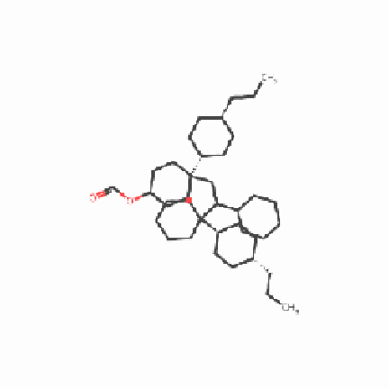 CCC[C@H]1CC[C@H](C2(CC(C3CCCCC3)C3([C@H]4CC[C@H](CCC)CC4)CCCCC3)CCC(OC=O)CC2)CC1